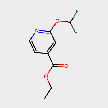 CCOC(=O)c1ccnc(OC(F)F)c1